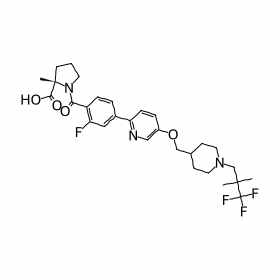 CC(C)(CN1CCC(COc2ccc(-c3ccc(C(=O)N4CCC[C@@]4(C)C(=O)O)c(F)c3)nc2)CC1)C(F)(F)F